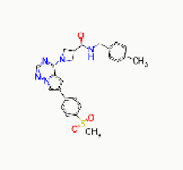 Cc1ccc(CNC(=O)C2CN(c3ncnn4cc(-c5ccc(S(C)(=O)=O)cc5)cc34)C2)cc1